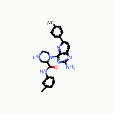 Cc1cccc(NC(=O)C2CNCCN2c2nc(N)nc3ccc(-c4ccc(C#N)cc4)nc23)c1